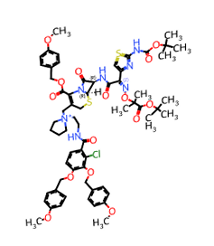 COc1ccc(COC(=O)C2=C(C[N+]3(CCNC(=O)c4ccc(OCc5ccc(OC)cc5)c(OCc5ccc(OC)cc5)c4Cl)CCCC3)CS[C@@H]3[C@H](NC(=O)/C(=N\OC(C)(C)C(=O)OC(C)(C)C)c4csc(NC(=O)OC(C)(C)C)n4)C(=O)N23)cc1